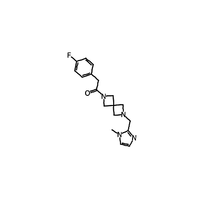 Cn1ccnc1CN1CC2(C1)CN(C(=O)Cc1ccc(F)cc1)C2